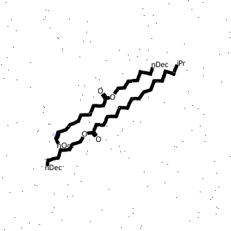 CCCCCCCC/C=C\CCCCCCCC(=O)OCCCCCCCCCCCCCCCC.CCCCCCCCCCCCCCCCOC(=O)CCCCCCCCCCCCCCC(C)C